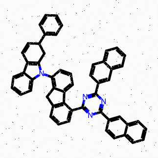 C1=CC(c2ccccc2)Cc2c1c1ccccc1n2-c1cccc2c1Cc1cccc(-c3nc(-c4ccc5ccccc5c4)nc(-c4ccc5ccccc5c4)n3)c1-2